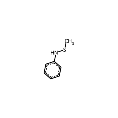 CSNc1ccccc1